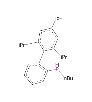 CCCCPc1ccccc1-c1c(C(C)C)cc(C(C)C)cc1C(C)C